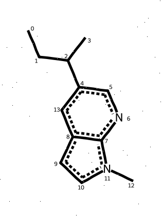 CCC(C)c1cnc2c(ccn2C)c1